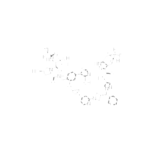 Cc1ncsc1-c1ccc(CNC(=O)[C@@H]2C[C@@H](O)CN2C(=O)C(NC(=O)C2(F)CC2)C(C)(C)C)c(OC2CN(c3ccnc(N4CC(C(c5ccccc5)n5cc(NC(=O)c6n[nH]c7c6C[C@@H]6C(F)(F)[C@]6(C)C7)cn5)C4)c3)C2)c1